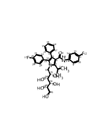 CC(C)c1c(C(=O)Nc2ccc(F)cc2)c(-c2ccccc2)c(-c2ccc(F)cc2)n1C[C@H](O)[C@@H](O)[C@H](O)[C@@H](O)CO